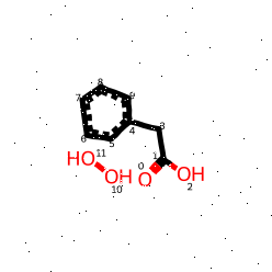 O=C(O)Cc1ccccc1.OO